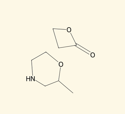 CC1CNCCO1.O=C1CCO1